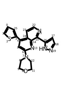 c1csc(-c2cc(N3CCOCC3)nc3c(-c4ccn[nH]4)nccc23)c1